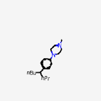 CCCCC(CCC)c1ccc(N2CCN(C)CC2)cc1